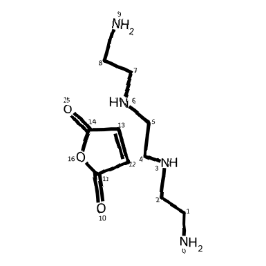 NCCNCCNCCN.O=C1C=CC(=O)O1